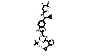 C[C@H](CC(=O)N[C@@H](c1ccc2[nH]c([C@H](COC(C)(C)C(F)(F)F)NC(=O)c3nonc3C3CC3)nc2c1)C1CC1)C(F)F